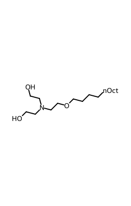 CCCCCCCCCCCCOCCN(CCO)CCO